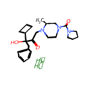 CC1CN(C(=O)N2CCCC2)CCN1CC(=O)C(O)(c1ccccc1)C1CCC1.Cl.Cl